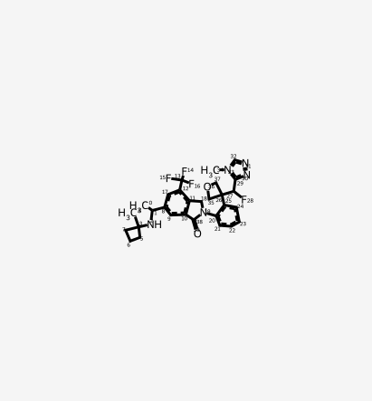 CC(NC1(C)CCC1)c1cc2c(c(C(F)(F)F)c1)CN(c1ccccc1C1(C(F)c3nncn3C)COC1)C2=O